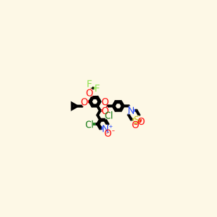 O=C(OC(Cc1c(Cl)c[n+]([O-])cc1Cl)c1ccc(OC(F)F)c(OCC2CC2)c1)c1ccc(CN2CCS(=O)(=O)CC2)cc1